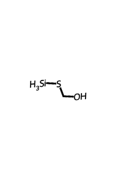 OCS[SiH3]